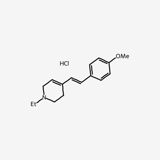 CCN1CC=C(C=Cc2ccc(OC)cc2)CC1.Cl